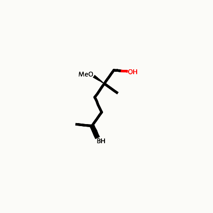 B=C(C)CC[C@@](C)(CO)OC